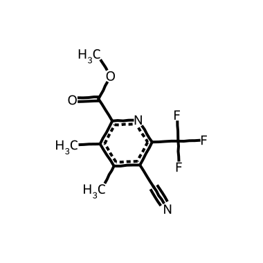 COC(=O)c1nc(C(F)(F)F)c(C#N)c(C)c1C